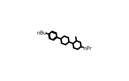 CCCCc1ccc(C2CCC(C3CCC(CCC)CC3C)CC2)cc1